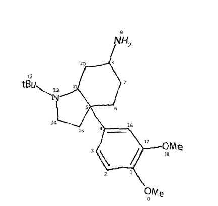 COc1ccc(C23CCC(N)CC2N(C(C)(C)C)CC3)cc1OC